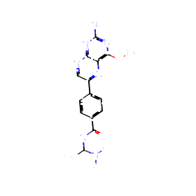 CCOc1nc(N)nc2ncc(-c3ccc(C(=O)NC(C)N(C)C)cc3)nc12